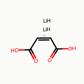 O=C(O)/C=C\C(=O)O.[LiH].[LiH]